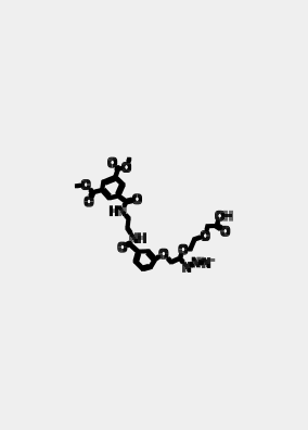 COC(=O)c1cc(C(=O)NCCNC(=O)c2cccc(OCC(N=[N+]=[N-])OCCOCC(=O)O)c2)cc(C(=O)OC)c1